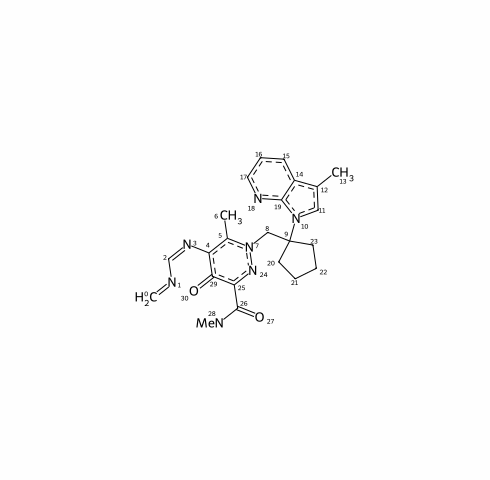 C=N/C=N\c1c(C)n(CC2(n3cc(C)c4cccnc43)CCCC2)nc(C(=O)NC)c1=O